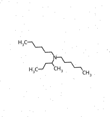 CCCCCCN(CCCCCC)C(C)CCC